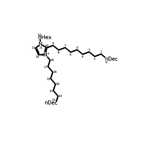 CCCCCCCCCCCCCCCCCCCc1n(CCCCCC)cc[n+]1CCCCCCCCCCCCCCCCC